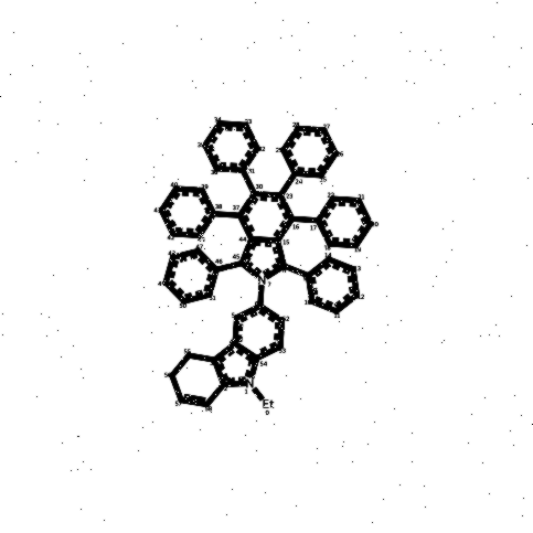 CCn1c2c(c3cc(-n4c(-c5ccccc5)c5c(-c6ccccc6)c(-c6ccccc6)c(-c6ccccc6)c(-c6ccccc6)c5c4-c4ccccc4)ccc31)CCC=C2